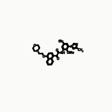 COc1c(NC(=O)C(=O)c2ccc(OCCN3CCOCC3)c3ccccc23)cc(C(C)(C)C)cc1-n1cnc(C)c1